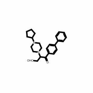 O=CCC(C(=O)c1ccc(-c2ccccc2)cc1)N1CCN(C2CCCC2)CC1